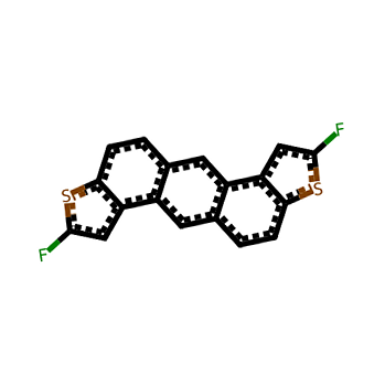 Fc1cc2c(ccc3cc4c(ccc5sc(F)cc54)cc32)s1